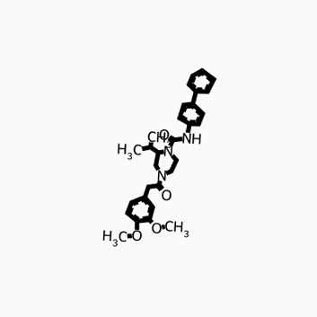 COc1ccc(CC(=O)N2CCN(C(=O)Nc3ccc(-c4ccccc4)cc3)C(C(C)C)C2)cc1OC